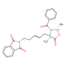 CC(C)(C)[C@@H]1OC(=O)[C@@](C)(CC=CCCN2C(=O)c3ccccc3C2=O)N1C(=O)c1ccccc1